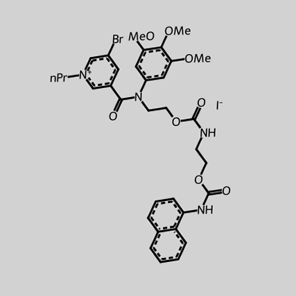 CCC[n+]1cc(Br)cc(C(=O)N(CCOC(=O)NCCOC(=O)Nc2cccc3ccccc23)c2cc(OC)c(OC)c(OC)c2)c1.[I-]